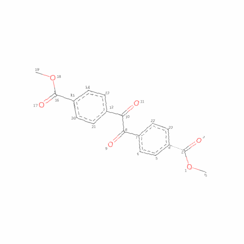 COC(=O)c1ccc(C(=O)C(=O)c2ccc(C(=O)OC)cc2)cc1